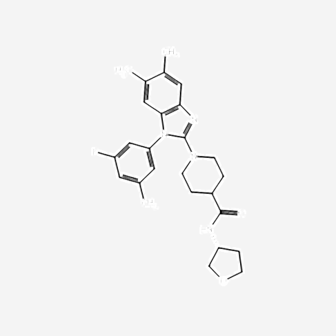 Cc1cc(F)cc(-n2c(N3CCC(C(=O)N[C@@H]4CCOC4)CC3)nc3cc(C)c(C)cc32)c1